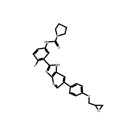 O=C(Nc1ccc(F)c(-c2nc3ncc(-c4ccc(OCC5CO5)cc4)cc3[nH]2)c1)N1CCCC1